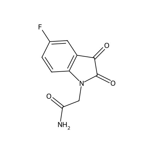 NC(=O)CN1C(=O)C(=O)c2cc(F)ccc21